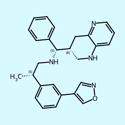 C[C@H](CN[C@H](c1ccccc1)[C@H]1CNc2cccnc2C1)c1cccc(-c2cnoc2)c1